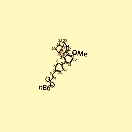 CCCCOC(=O)/C=C/c1ccc(-c2ccc(OC)c(C3(C)CC4CC5CC(C3)C5C4)c2)cc1